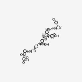 CC1(C)CCC(CNCCNc2ccc(C(=O)NS(=O)(=O)c3ccc(NCC4CCN(C(=O)CCCNc5cccc6c5CN(C5CCC(=O)NC5=O)C6=O)CC4)c(NO)c3)c(Oc3cnc4[nH]ccc4c3)c2)=C(c2ccc(Cl)cc2)C1